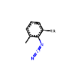 Cc1cccc(C(C)(C)C)c1N=[N+]=[N-]